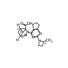 C[C@H]1CCN1c1nc2c(c(N3C[C@H]4C[C@@H](C3)[C@@H]4CC(=O)O)n1)CCC2